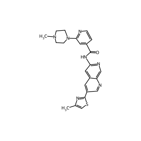 Cc1csc(-c2cnc3cnc(NC(=O)c4ccnc(N5CCN(C)CC5)c4)cc3c2)n1